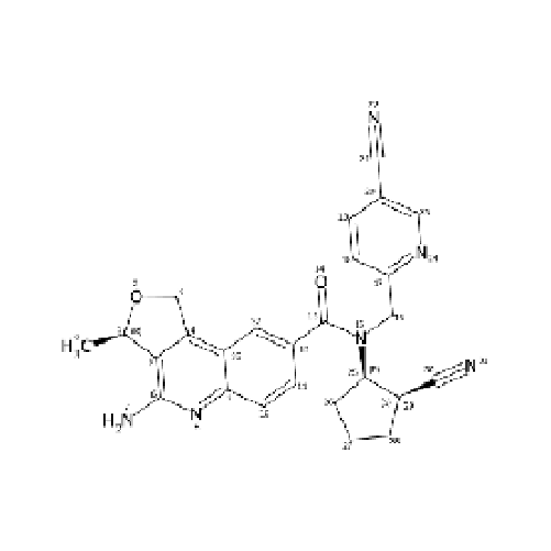 C[C@H]1OCc2c1c(N)nc1ccc(C(=O)N(Cc3ccc(C#N)cn3)[C@@H]3CCC[C@@H]3C#N)cc21